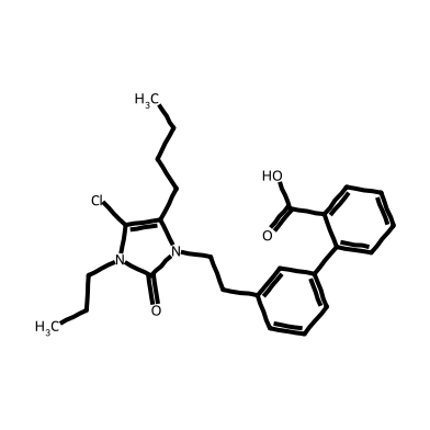 CCCCc1c(Cl)n(CCC)c(=O)n1CCc1cccc(-c2ccccc2C(=O)O)c1